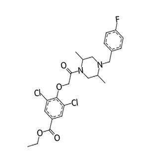 CCOC(=O)c1cc(Cl)c(OCC(=O)N2CC(C)N(Cc3ccc(F)cc3)CC2C)c(Cl)c1